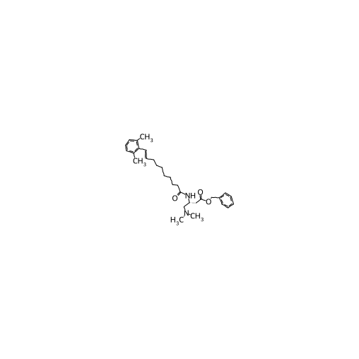 Cc1cccc(C)c1/C=C/CCCCCCCC(=O)N[C@H](CC(=O)OCc1ccccc1)CN(C)C